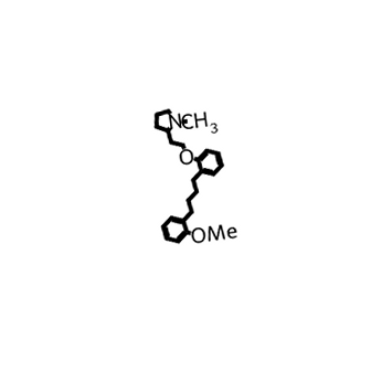 COc1ccccc1CCCCc1ccccc1OCCC1CCCN1C